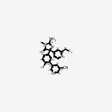 CN1C(=O)C(c2ccnc(CF)c2)(c2ccc(F)c(-c3cncc(C#N)c3)c2)N=C1N